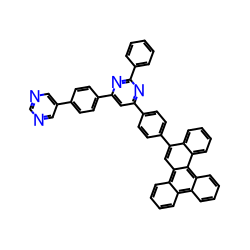 c1ccc(-c2nc(-c3ccc(-c4cncnc4)cc3)cc(-c3ccc(-c4cc5c6ccccc6c6ccccc6c5c5ccccc45)cc3)n2)cc1